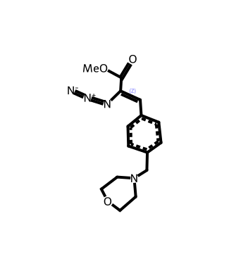 COC(=O)/C(=C/c1ccc(CN2CCOCC2)cc1)N=[N+]=[N-]